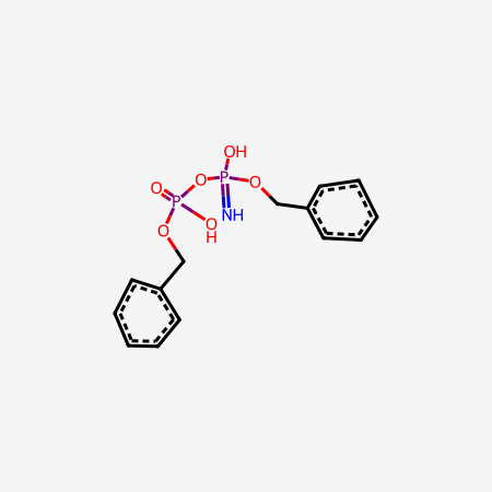 N=P(O)(OCc1ccccc1)OP(=O)(O)OCc1ccccc1